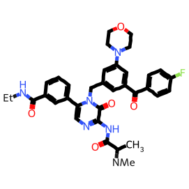 CCNC(=O)c1cccc(-c2cnc(NC(=O)C(C)NC)c(=O)n2Cc2cc(C(=O)c3ccc(F)cc3)cc(N3CCOCC3)c2)c1